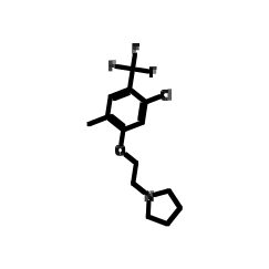 Cc1cc(C(F)(F)F)c(Cl)cc1OCCN1CCCC1